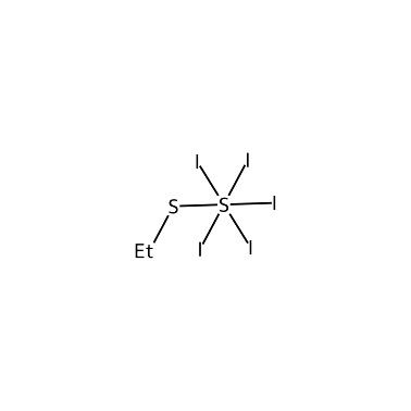 CCSS(I)(I)(I)(I)I